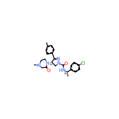 Cc1ccc(C2=NN(C(=O)N[C@H](C)c3ccc(Cl)cc3)C[C@@H]2N2CCN(C)CC2=O)cc1